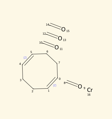 C1=C\CC/C=C\CC/1.[C]=O.[C]=O.[C]=O.[C]=O.[Cr]